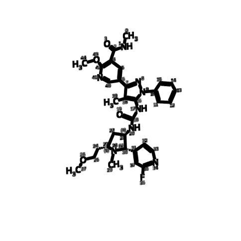 CNC(=O)c1cc(-c2nn(-c3ccccc3)c(NC(=O)N[C@@H]3C[C@@H](CCOC)N(C)[C@H]3c3ccnc(F)c3)c2C)cnc1OC